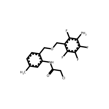 Cc1ccc(COCc2c(F)c(F)c(F)c(P)c2F)c(NC(=O)CCl)c1